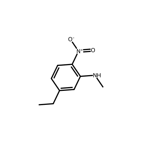 CCc1ccc([N+](=O)[O-])c(NC)c1